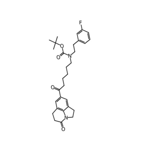 CC(C)(C)OC(=O)N(CCCCCC(=O)c1cc2c3c(c1)CCN3C(=O)CC2)CCc1cccc(F)c1